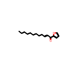 CCCCCCCCC/C=C/C(=O)c1ccco1